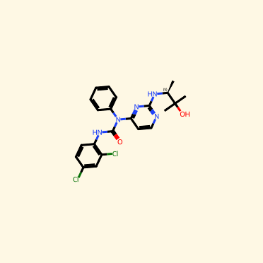 C[C@H](Nc1nccc(N(C(=O)Nc2ccc(Cl)cc2Cl)c2ccccc2)n1)C(C)(C)O